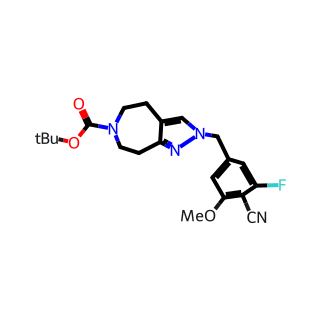 COc1cc(Cn2cc3c(n2)CCN(C(=O)OC(C)(C)C)CC3)cc(F)c1C#N